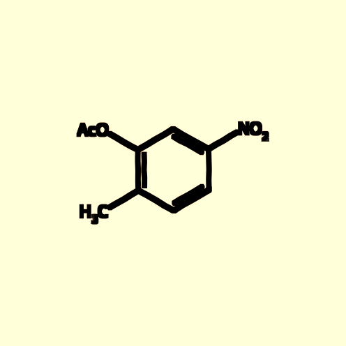 CC(=O)Oc1cc([N+](=O)[O-])ccc1C